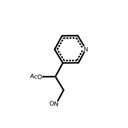 CC(=O)OC(CN=O)c1cccnc1